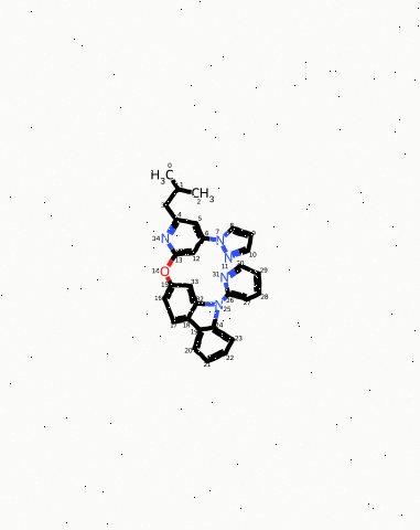 CC(C)Cc1cc(-n2cccn2)cc(Oc2ccc3c4ccccc4n(-c4ccccn4)c3c2)n1